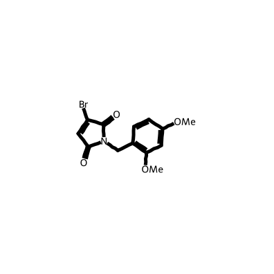 COc1ccc(CN2C(=O)C=C(Br)C2=O)c(OC)c1